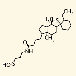 CCC1CCCCC1(S)C1CCC2(C)C(CCCC(=O)NCCCSO)CCC2C1C